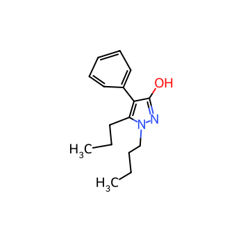 CCCCn1nc(O)c(-c2ccccc2)c1CCC